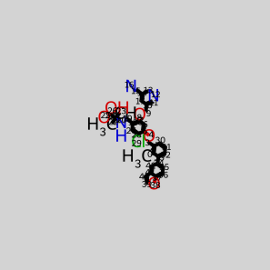 Cc1c(COc2cc(OCc3cncc(C#N)c3)c(CNC(C)(C)C(=O)O)cc2Cl)cccc1-c1ccc2occc2c1